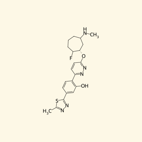 CNC1CCCC(F)[C@@H](Oc2ccc(-c3ccc(-c4nnc(C)s4)cc3O)nn2)C1